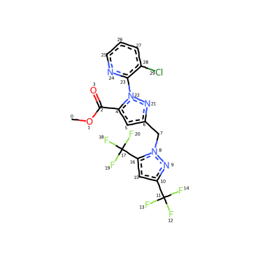 COC(=O)c1cc(Cn2nc(C(F)(F)F)cc2C(F)(F)F)nn1-c1ncccc1Cl